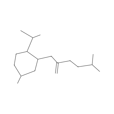 C=C(CCC(C)C)CC1CC(C)CCC1C(C)C